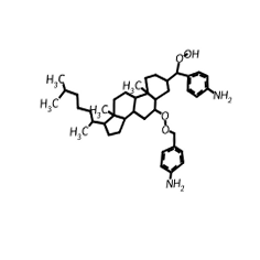 CC(C)CCCC(C)C1CCC2C3CC(OOCc4ccc(N)cc4)C4CC(C(OO)c5ccc(N)cc5)CCC4(C)C3CCC12C